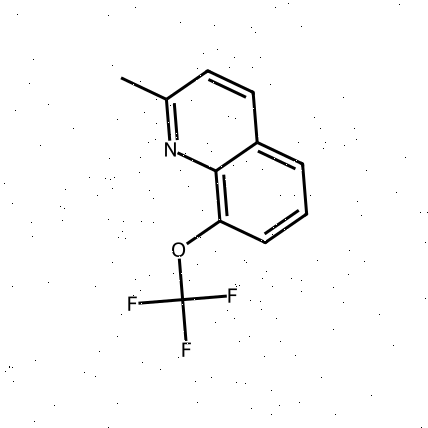 Cc1ccc2cccc(OC(F)(F)F)c2n1